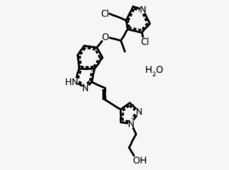 CC(Oc1ccc2[nH]nc(/C=C/c3cnn(CCO)c3)c2c1)c1c(Cl)cncc1Cl.O